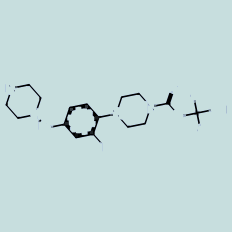 CC(C)(C)OC(=O)N1CCN(c2ccc(O[SH]3CCNCC3)cc2F)CC1